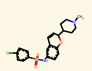 CN1CCC(C2C=Cc3cc(NS(=O)(=O)c4ccc(Cl)cc4)ccc3O2)CC1